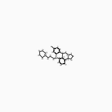 Cc1ccc(C2CN3CCCC3c3cccc(OCCCN4CCCCC4)c32)cc1